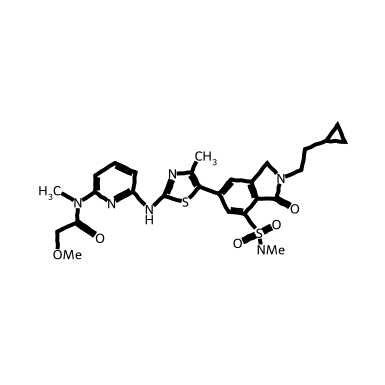 CNS(=O)(=O)c1cc(-c2sc(Nc3cccc(N(C)C(=O)COC)n3)nc2C)cc2c1C(=O)N(CCC1CC1)C2